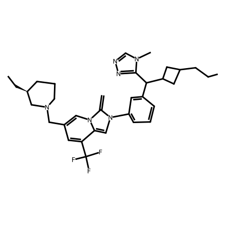 C=C1N2C=C(CN3CCC[C@H](CC)C3)C=C(C(F)(F)F)C2=CN1c1cccc(C(c2nncn2C)C2CC(CCC)C2)c1